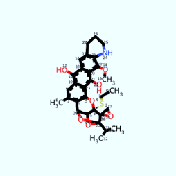 CCS[C@@]12Oc3c(c(C)cc4c(O)c5cc6c(c(OC)c5c(O)c34)NCCC6)C3OC(C(C)C)(OC31)C21CO1